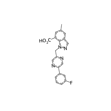 Cc1cc(C(=O)O)c2c(cnn2Cc2cnc(-c3cccc(F)c3)cn2)c1